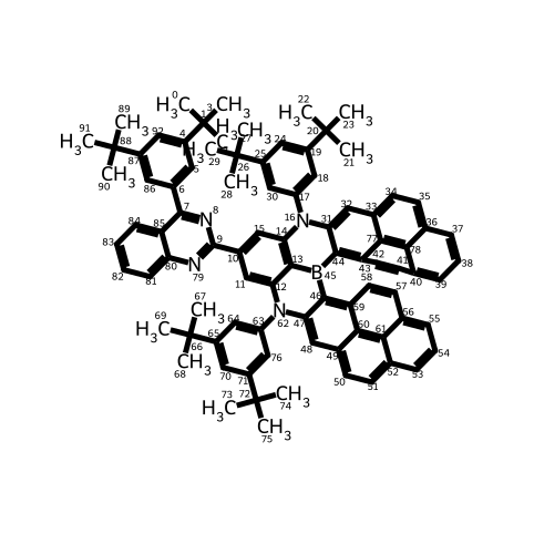 CC(C)(C)c1cc(-c2nc(-c3cc4c5c(c3)N(c3cc(C(C)(C)C)cc(C(C)(C)C)c3)c3cc6ccc7cccc8ccc(c3B5c3c(cc5ccc9cccc%10ccc3c5c9%10)N4c3cc(C(C)(C)C)cc(C(C)(C)C)c3)c6c78)nc3ccccc23)cc(C(C)(C)C)c1